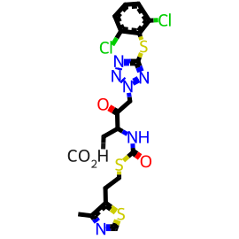 Cc1ncsc1CCSC(=O)NC(CC(=O)O)C(=O)Cn1nnc(Sc2c(Cl)cccc2Cl)n1